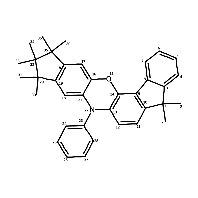 CC1(C)c2ccccc2-c2c1ccc1c2Oc2cc3c(cc2N1c1ccccc1)C(C)(C)C(C)(C)C3(C)C